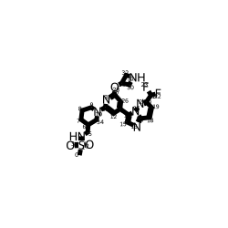 CS(=O)(=O)NCC1CCCN(c2cc(-c3cnc4ccc(C(F)F)nn34)cc(OC3CNC3)n2)C1